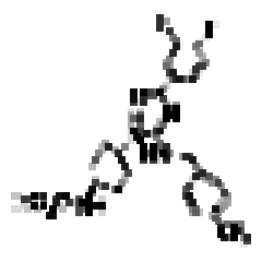 CCOC(=O)N[C@H]1CC[C@H](N/C(=N\C(=O)c2ccc(F)c(F)c2)NCc2ccc(C(F)(F)F)cc2)CC1